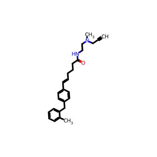 C#CCN(C)CCNC(=O)CCC/C=C/c1ccc(Cc2ccccc2C)cc1